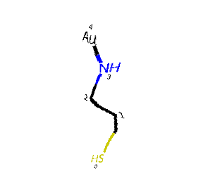 SCC[NH][Au]